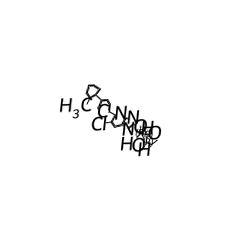 Cc1ccccc1-c1ccc(-c2nc3nc(O[C@@H]4CO[C@@H]5CCO[C@@H]54)[nH]c3cc2Cl)cc1